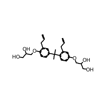 C=CCc1cc(C(C)(C)c2ccc(OCC(O)CO)cc2CC=C)ccc1OCC(O)CO